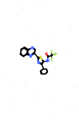 O=C(Nc1sc(-c2cnc3ccccc3n2)nc1-c1ccccc1)C(F)(F)F